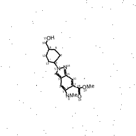 CNc1cc2cn(C3CCC(CO)CC3)nc2cc1C(=O)OC